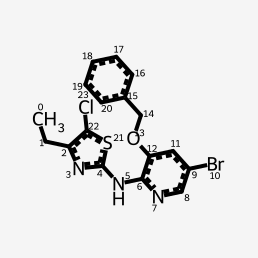 CCc1nc(Nc2ncc(Br)cc2OCc2ccccc2)sc1Cl